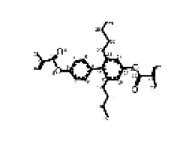 C=C(C)C(=O)Oc1ccc(-c2c(CCCC)cc(OC(=O)C(=C)C)cc2CCCC)cc1